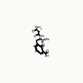 NC(=O)CC(=O)N[C@H]1Cc2cccc(C(=O)O)c2OB1O